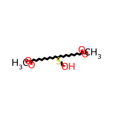 COC(=O)CCCCCCCCCC(CCCCCCCCC(=O)OC)SCCO